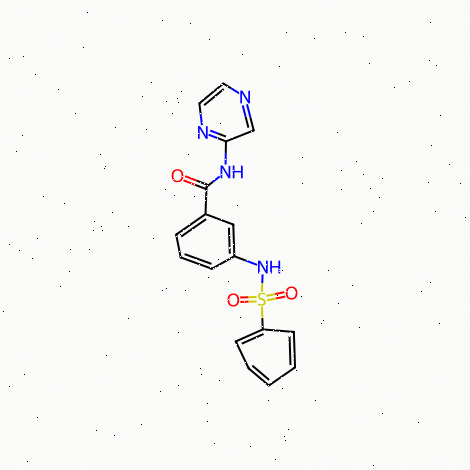 O=C(Nc1cnccn1)c1cccc(NS(=O)(=O)c2ccccc2)c1